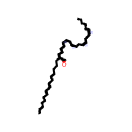 CCCCC/C=C\C/C=C\C/C=C\C/C=C\CCCCC([C]=O)CCCCCCCCCCCCCCCC